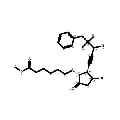 COC(=O)CCCCCC[C@H]1C(=O)C[C@H](O)[C@@H]1C#CC(O)C(C)(C)Cc1ccccc1